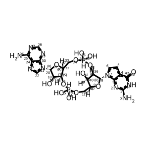 Nc1nc2c(ccn2[C@@H]2O[C@@H]3CO[PH](O)(O)O[C@H]4[C@@H](O)[C@H](n5cnc6c(N)ncnc65)O[C@@H]4CO[PH](O)(O)O[C@@H]2[C@@H]3O)c(=O)[nH]1